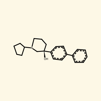 O[C@]1(c2ccc(-c3ccccc3)cc2)CCCN(C2CCCC2)C1